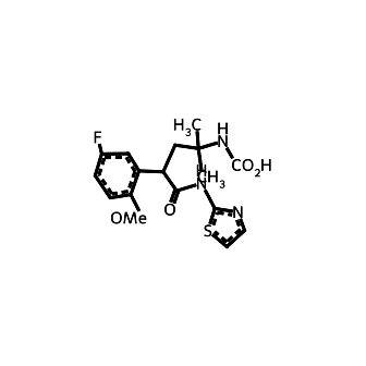 COc1ccc(F)cc1C(CC(C)(C)NC(=O)O)C(=O)Nc1nccs1